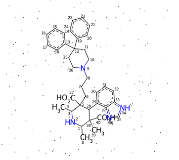 CC1NC(C)C(CCCN2CCC(c3ccccc3)(c3ccccc3)CC2)(C(=O)O)C(c2cccc3[nH]cnc23)C1(C)C(=O)O